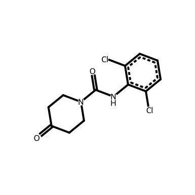 O=C1CCN(C(=O)Nc2c(Cl)cccc2Cl)CC1